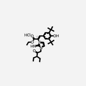 CCOC(=O)/C(=C/c1cc(C(C)(C)C)c(O)c(C(C)(C)C)c1)n1ccn(CC(=O)C(CC)CC)c1=N.Cl